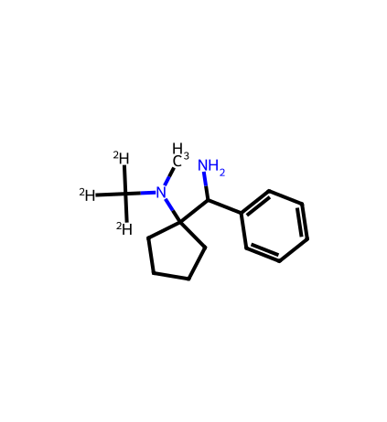 [2H]C([2H])([2H])N(C)C1(C(N)c2ccccc2)CCCC1